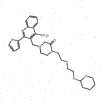 O=C(O)c1c(CN2CCN(CCOCCOC3CCCCO3)C(=O)C2)c(-c2cccs2)nc2ccccc12